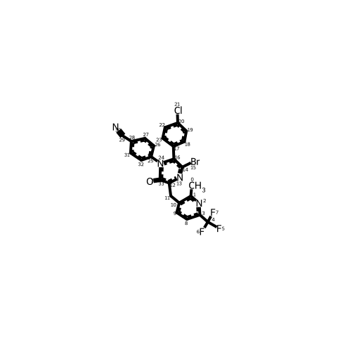 Cc1nc(C(F)(F)F)ccc1Cc1nc(Br)c(-c2ccc(Cl)cc2)n(-c2ccc(C#N)cc2)c1=O